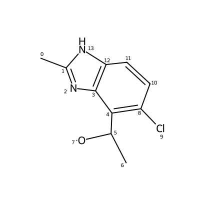 Cc1nc2c(C(C)[O])c(Cl)ccc2[nH]1